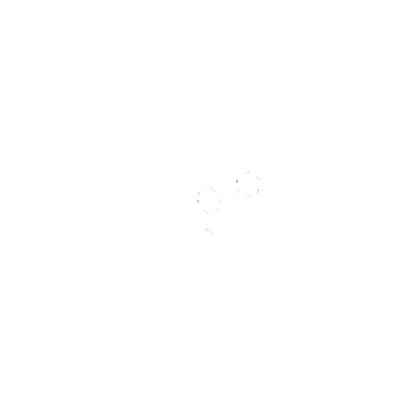 CCCOc1ccc(-c2cccc(F)c2F)cc1C(=O)O